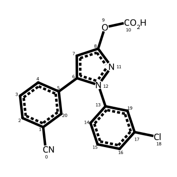 N#Cc1cccc(-c2cc(OC(=O)O)nn2-c2cccc(Cl)c2)c1